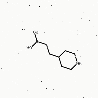 OB(O)CCC1CCNCC1